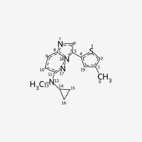 Cc1csc(-c2cnc3ccc(N(C)C4CC4)nn23)c1